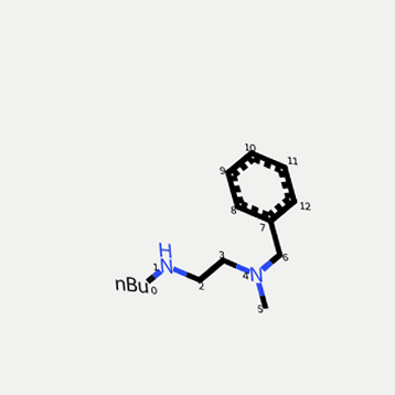 CCCCNCCN(C)Cc1ccccc1